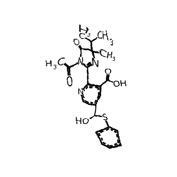 CC(=O)N1C(=O)C(C)(C(C)C)N=C1c1ncc(C(O)Sc2ccccc2)cc1C(=O)O